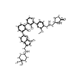 COc1cc(-c2nccc(-c3cccc(-c4ccc5c(CNC6CCC(F)(F)CC6)cn(C)c5n4)c3Cl)c2Cl)ccc1CNCC1CCC(=O)N1